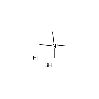 C[N+](C)(C)C.I.[LiH]